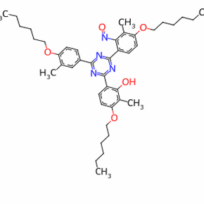 CCCCCCOc1ccc(-c2nc(-c3ccc(OCCCCCC)c(C)c3O)nc(-c3ccc(OCCCCCC)c(C)c3N=O)n2)cc1C